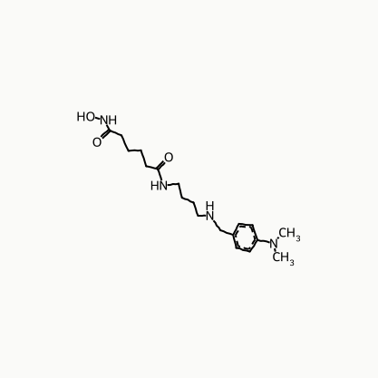 CN(C)c1ccc(CNCCCCNC(=O)CCCCC(=O)NO)cc1